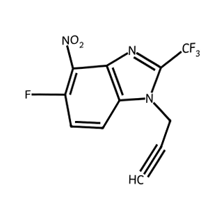 C#CCn1c(C(F)(F)F)nc2c([N+](=O)[O-])c(F)ccc21